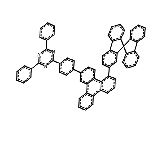 c1ccc(-c2nc(-c3ccccc3)nc(-c3ccc(-c4ccc5c(c4)c4ccccc4c4cccc(-c6ccc7c(c6)C6(c8ccccc8-c8ccccc86)c6ccccc6-7)c45)cc3)n2)cc1